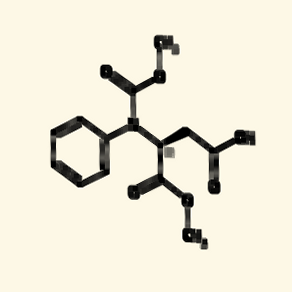 COC(=O)[C@H](CC(=O)O)N(C(=O)OC)c1ccccc1